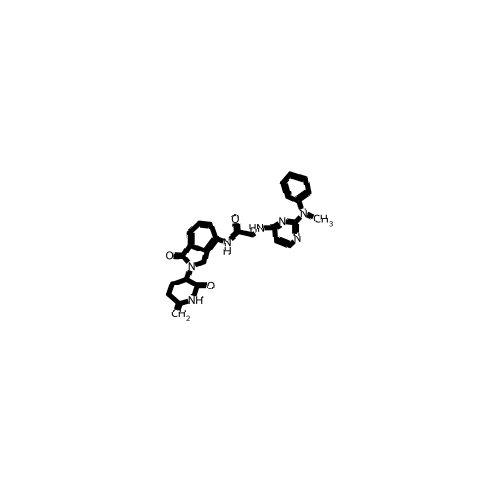 C=C1CCC(N2Cc3c(NC(=O)CNc4ccnc(N(C)c5ccccc5)n4)cccc3C2=O)C(=O)N1